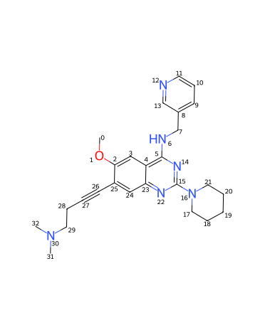 COc1cc2c(NCc3cccnc3)nc(N3CCCCC3)nc2cc1C#CCCN(C)C